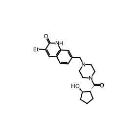 CCc1cc2ccc(CN3CCN(C(=O)[C@@H]4CCC[C@H]4O)CC3)cc2[nH]c1=O